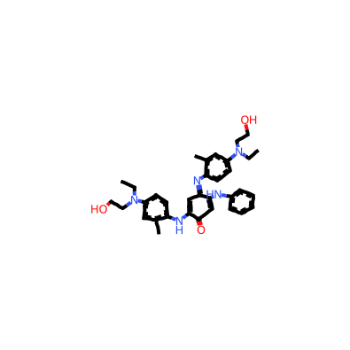 CCN(CCO)c1ccc(N=C2C=C(Nc3ccc(N(CC)CCO)cc3C)C(=O)C=C2Nc2ccccc2)c(C)c1